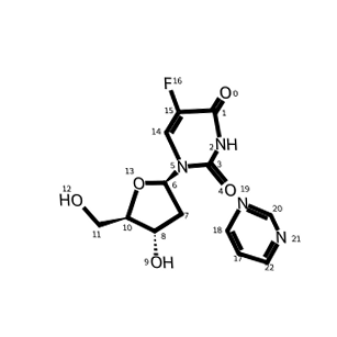 O=c1[nH]c(=O)n([C@H]2C[C@H](O)[C@@H](CO)O2)cc1F.c1cncnc1